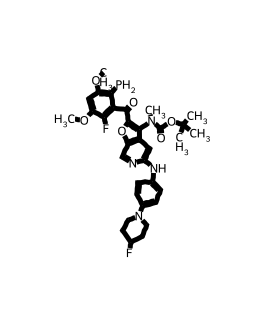 COc1cc(OC)c(P)c(C(=O)c2oc3cnc(Nc4ccc(N5CCC(F)CC5)cc4)cc3c2N(C)C(=O)OC(C)(C)C)c1F